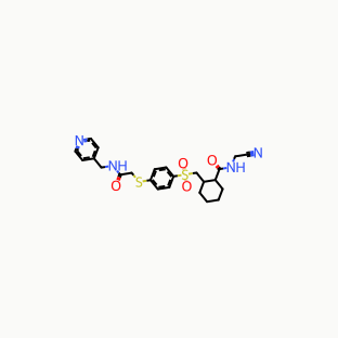 N#CCNC(=O)C1CCCCC1CS(=O)(=O)c1ccc(SCC(=O)NCc2ccncc2)cc1